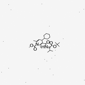 COC(=O)N1C(C)=CC(C2CCCCC2)C(C(=O)N[C@H](C(=O)OC(C)(C)C)C(C)C)=C1C